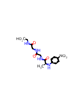 C[C@H](Nc1ccc([N+](=O)[O-])cc1)C(=O)NCC(=O)NCC(=O)NCC(=O)O